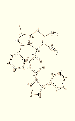 Cn1nc(-c2ccncn2)c2c1OC(N)=C(C#N)C2c1ccc(-n2ccnc2-c2cccnc2)cc1